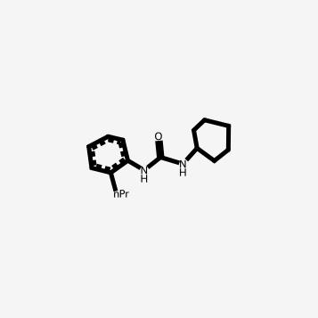 [CH2]CCc1ccccc1NC(=O)NC1CCCCC1